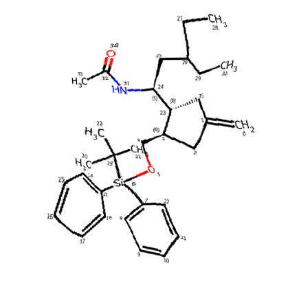 C=C1C[C@@H](CO[Si](c2ccccc2)(c2ccccc2)C(C)(C)C)[C@H]([C@H](CC(CC)CC)NC(C)=O)C1